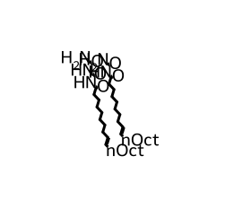 CCCCCCCCC=CCCCCCCCC(=O)NC(=O)NC(N)=O.CCCCCCCCC=CCCCCCCCC(=O)NC(N)=O